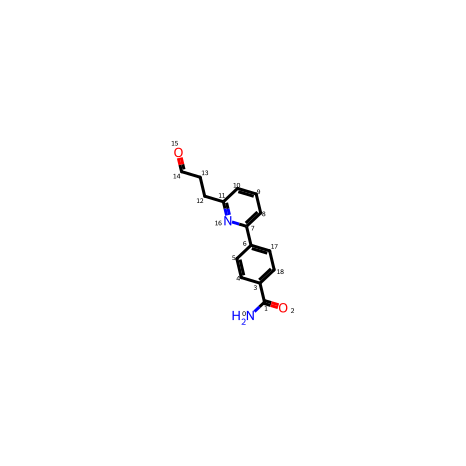 NC(=O)c1ccc(-c2cccc(CCC=O)n2)cc1